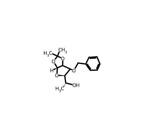 C[C@@H](O)[C@H]1O[C@@H]2OC(C)(C)OC2C1OCc1ccccc1